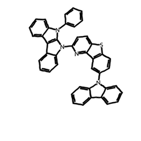 c1ccc(-n2c3ccccc3c3c4ccccc4n(-c4ccc5sc6ccc(-n7c8ccccc8c8ccccc87)cc6c5n4)c32)cc1